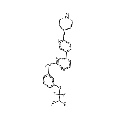 FC(F)C(F)(F)Oc1cccc(Nc2nccc(-c3ccc(N4CCNCC4)nc3)n2)c1